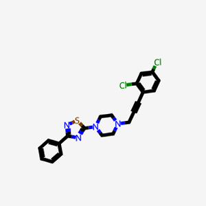 Clc1ccc(C#CCN2CCN(c3nc(-c4ccccc4)ns3)CC2)c(Cl)c1